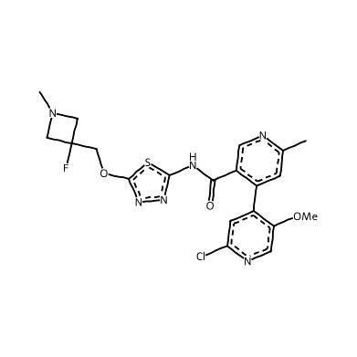 COc1cnc(Cl)cc1-c1cc(C)ncc1C(=O)Nc1nnc(OCC2(F)CN(C)C2)s1